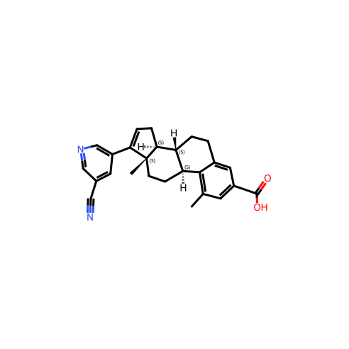 Cc1cc(C(=O)O)cc2c1[C@H]1CC[C@]3(C)C(c4cncc(C#N)c4)=CC[C@H]3[C@@H]1CC2